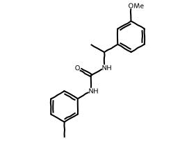 COc1cccc(C(C)NC(=O)Nc2cccc(C)c2)c1